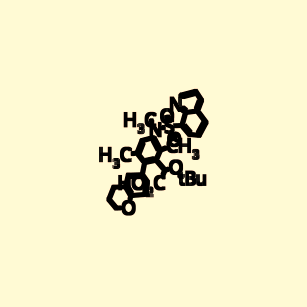 Cc1cc(N(C)S(=O)(=O)c2cccc3cccnc23)c(C)c(C(OC(C)(C)C)C(=O)O)c1-c1ccc2c(c1)CCCO2